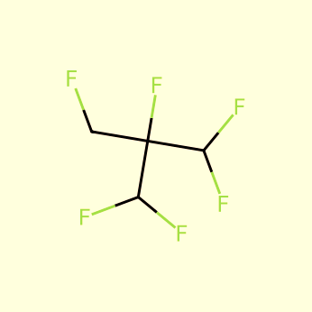 FCC(F)(C(F)F)C(F)F